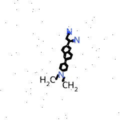 C=CCN(CC=C)c1ccc(-c2ccc3cc(/C(C#N)=C/C#N)ccc3c2)cc1